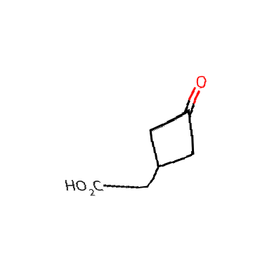 O=C(O)CC1CC(=O)C1